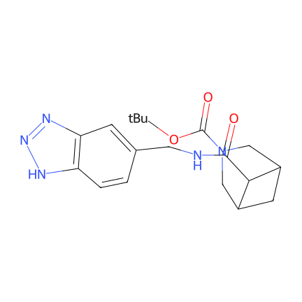 CC(C)(C)OC(=O)N1CC2CC(C1)C2C(=O)NCc1ccc2[nH]nnc2c1